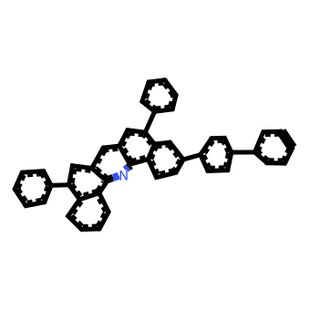 c1ccc(-c2ccc(-c3ccc4c(c3)c(-c3ccccc3)cc3cc5cc(-c6ccccc6)c6ccccc6c5nc34)cc2)cc#1